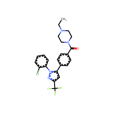 CCN1CCN(C(=O)c2ccc(-c3cc(C(F)(F)F)nn3-c3ccccc3Cl)cc2)CC1